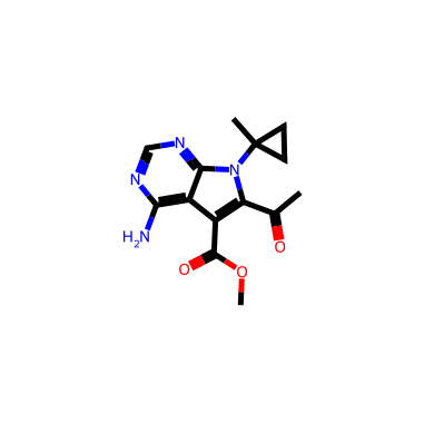 COC(=O)c1c(C(C)=O)n(C2(C)CC2)c2ncnc(N)c12